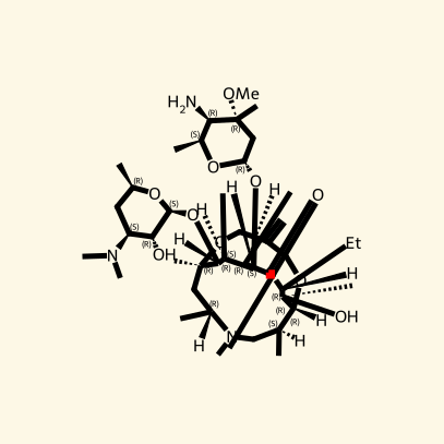 C=C1CO[C@@H]2[C@@H](C)CN(C)[C@H](C)C[C@@](C)(OC1)[C@H](O[C@@H]1O[C@H](C)C[C@H](N(C)C)[C@H]1O)[C@@H](C)[C@H](O[C@H]1C[C@@](C)(OC)[C@H](N)[C@H](C)O1)[C@@H](C)C(=O)O[C@H](CC)[C@@]2(C)O